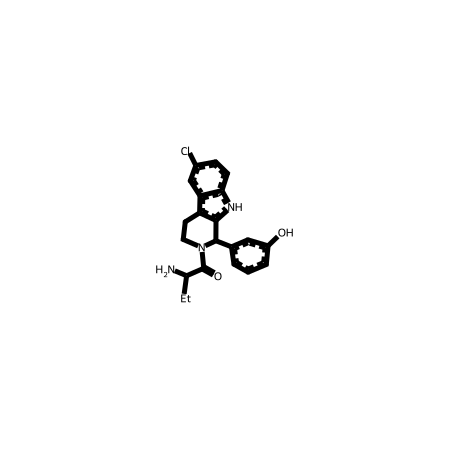 CCC(N)C(=O)N1CCc2c([nH]c3ccc(Cl)cc23)C1c1cccc(O)c1